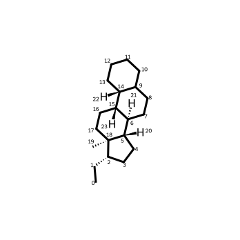 CC[C@H]1CC[C@H]2[C@@H]3CCC4CCCC[C@H]4[C@H]3CC[C@]12C